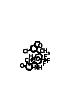 Cn1c(=O)ccc2[nH]c(CC(O)(CC(C)(C)c3cc(Cl)cc4c3OCC4)C(F)(F)F)cc21